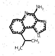 CC(C)c1cccc2nc(N)c3nc[nH]c3c12